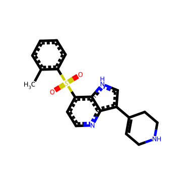 Cc1ccccc1S(=O)(=O)c1ccnc2c(C3=CCNCC3)c[nH]c12